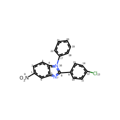 O=[N+]([O-])c1ccc2c(c1)nc(-c1ccc(Cl)cc1)n2-c1ccccc1